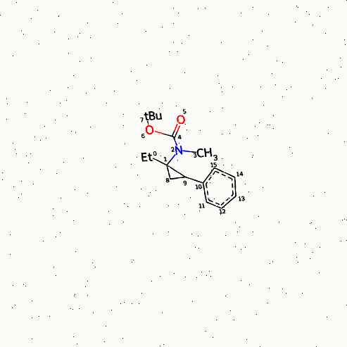 CCC1(N(C)C(=O)OC(C)(C)C)CC1c1ccccc1